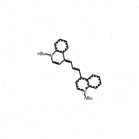 CCCCN1C=C/C(=C\C=C\c2cc[n+](CCCC)c3ccccc23)c2ccccc21